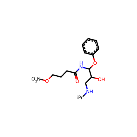 CC(C)NCC(O)C(NC(=O)CCCO[N+](=O)[O-])Oc1ccccc1